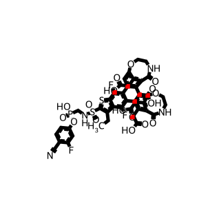 CCc1c(S(=O)(=O)NCP(=O)(O)Oc2ccc(C#N)c(F)c2)sc2c(F)c(-c3cc4c(CC(=O)O)c(c3CC(=O)O)C(=O)NCCO4)c(-c3cc4c(CC(=O)O)c(c3CC(=O)O)C(=O)NCCO4)c(F)c12